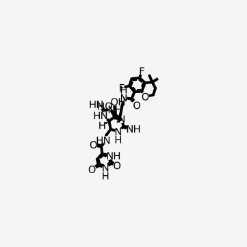 CC1(C)CCOc2c(C(=O)NC3CN4C(=N)NC(CNC(=O)c5cc(=O)[nH]c(=O)[nH]5)[C@@H]5NC(=N)NC54C3(O)O)c(F)cc(F)c21